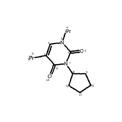 CC(C)c1cn(C(C)C)c(=O)n(C2CCCC2)c1=O